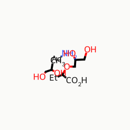 CC(N)=O.CC(O)CO.CCC(OCC(O)CO)C(=O)O